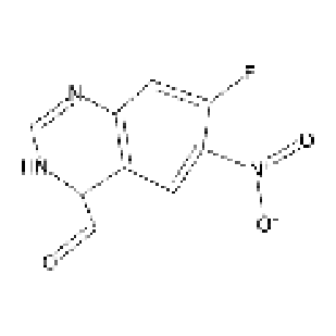 O=CC1NC=Nc2cc(F)c([N+](=O)[O-])cc21